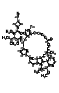 CCn1c(-c2cccnc2[C@H](C)OC)c2c3cc(ccc31)-c1csc(n1)C[C@H](NC(=O)C(C(C)C)N(C)C(=O)N1CC(C#N)C1)C(=O)N(NF)CCCCC(=O)OCC(C)(C)C2